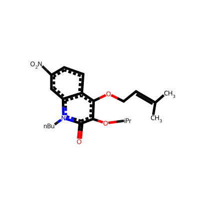 CCCCn1c(=O)c(OC(C)C)c(OCC=C(C)C)c2ccc([N+](=O)[O-])cc21